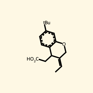 CC=C1COc2cc(C(C)(C)C)ccc2C1CC(=O)O